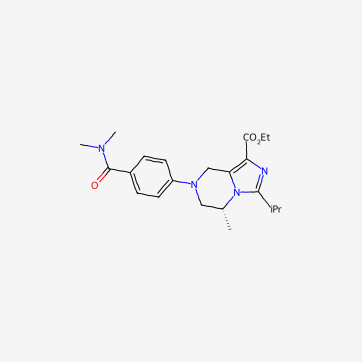 CCOC(=O)c1nc(C(C)C)n2c1CN(c1ccc(C(=O)N(C)C)cc1)C[C@H]2C